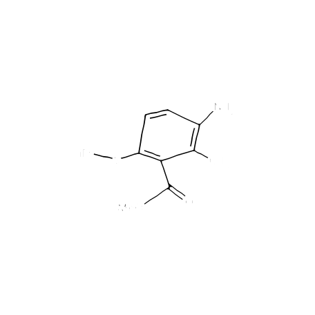 COC(=O)c1c(SC(C)C)ccc(N)c1C